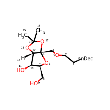 CCCCCCCCCCCCOC[C@@]12O[C@@H](CO)[C@@H](O)[C@@H]1OC(C)(C)O2